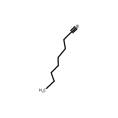 B#CCCCCCCC